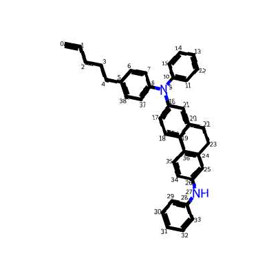 C=CCCCc1ccc(N(c2ccccc2)c2ccc3c(c2)CCc2cc(Nc4ccccc4)ccc2-3)cc1